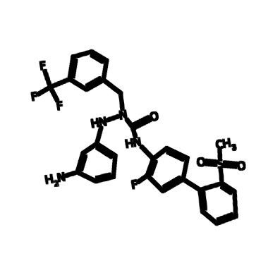 CS(=O)(=O)c1ccccc1-c1ccc(NC(=O)N(Cc2cccc(C(F)(F)F)c2)Nc2cccc(N)c2)c(F)c1